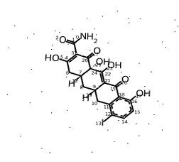 NC(=O)C1=C(O)C[C@H]2C[C@H]3Cc4c(I)ccc(O)c4C(=O)C3=C(O)[C@]2(O)C1=O